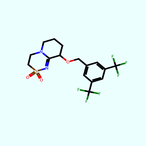 O=S1(=O)CCN2CCCC(OCc3cc(C(F)(F)F)cc(C(F)(F)F)c3)C2=N1